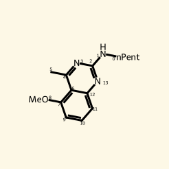 CCCCCNc1nc(C)c2c(OC)cccc2n1